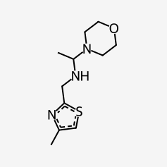 Cc1csc(CNC(C)N2CCOCC2)n1